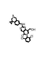 CN1Cc2cc(Nc3ncc4c(=O)n(-c5c(Cl)cccc5Cl)cc(CO)c4n3)ccc2C2(CC2)C1